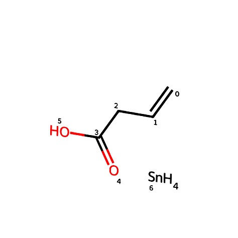 C=CCC(=O)O.[SnH4]